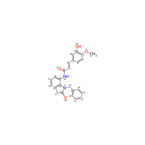 COc1ccc(C=CC(=O)Nc2cccc3c2N(Cc2ccccc2)C(=O)C3)cc1O